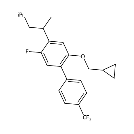 CC(C)CC(C)c1cc(OCC2CC2)c(-c2ccc(C(F)(F)F)cc2)cc1F